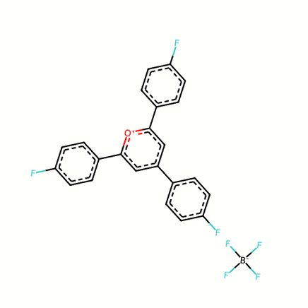 F[B-](F)(F)F.Fc1ccc(-c2cc(-c3ccc(F)cc3)[o+]c(-c3ccc(F)cc3)c2)cc1